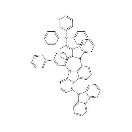 c1ccc(-c2cccc(-n3c4cccc(-n5c6ccccc6c6ccccc65)c4c4cccc(-n5c6ccccc6c6c([Si](c7ccccc7)(c7ccccc7)c7ccccc7)cccc65)c43)c2)cc1